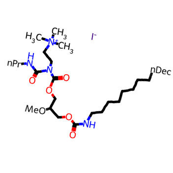 CCCCCCCCCCCCCCCCCCNC(=O)OCC(COC(=O)N(CC[N+](C)(C)C)C(=O)NCCC)OC.[I-]